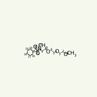 COCCOCCOCCN(C)S(=O)(=O)c1ccccc1